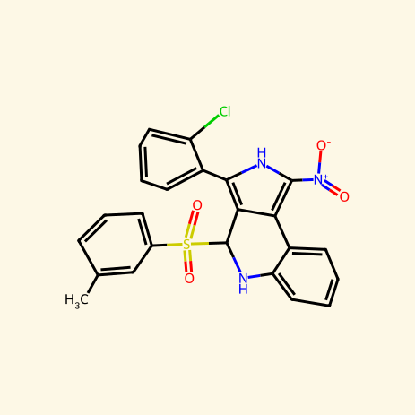 Cc1cccc(S(=O)(=O)C2Nc3ccccc3-c3c([N+](=O)[O-])[nH]c(-c4ccccc4Cl)c32)c1